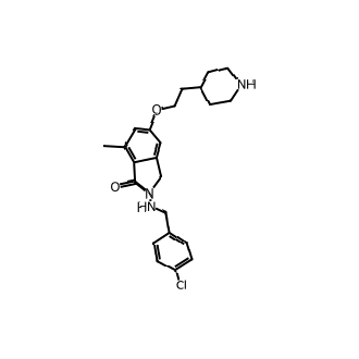 Cc1cc(OCCC2CCNCC2)cc2c1C(=O)N(NCc1ccc(Cl)cc1)C2